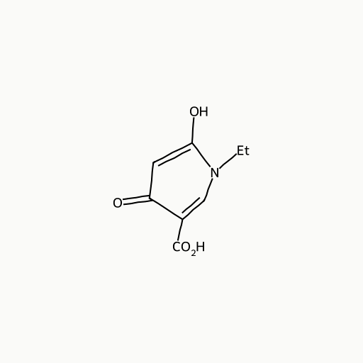 CCn1cc(C(=O)O)c(=O)cc1O